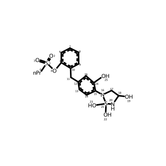 CCCS(=O)(=O)Oc1ccccc1Cc1ccc(N2CC(O)NS2(O)O)c(O)c1